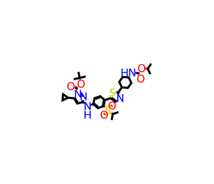 CC(C)OC(=O)NC1CCC(c2ncc(-c3ccc(Nc4cc(C5CC5)n(C(=O)OC(C)(C)C)n4)cc3S(=O)(=O)C(C)C)s2)CC1